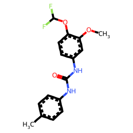 COc1cc(NC(=O)Nc2ccc(C)cc2)ccc1OC(F)F